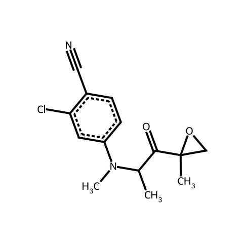 CC(C(=O)C1(C)CO1)N(C)c1ccc(C#N)c(Cl)c1